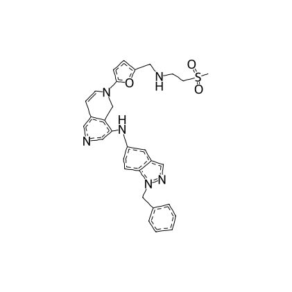 CS(=O)(=O)CCNCc1ccc(N2C=Cc3cncc(Nc4ccc5c(cnn5Cc5ccccc5)c4)c3C2)o1